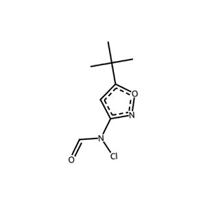 CC(C)(C)c1cc(N(Cl)C=O)no1